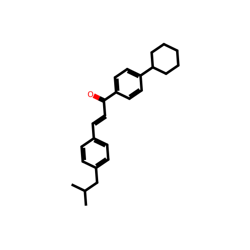 CC(C)Cc1ccc(C=CC(=O)c2ccc(C3CCCCC3)cc2)cc1